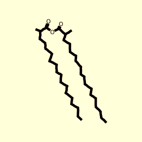 CCCCCCCCCCCCCCCCC(C)C(=O)OC(=O)C(C)CCCCCCCCCCCCCCCC